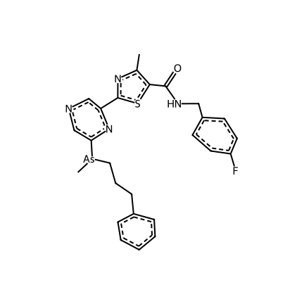 Cc1nc(-c2cncc([As](C)CCCc3ccccc3)n2)sc1C(=O)NCc1ccc(F)cc1